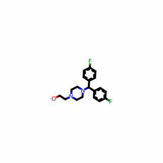 [O]CCN1CCN(C(c2ccc(F)cc2)c2ccc(F)cc2)CC1